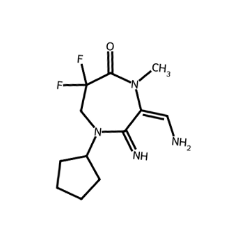 CN1C(=O)C(F)(F)CN(C2CCCC2)C(=N)/C1=C\N